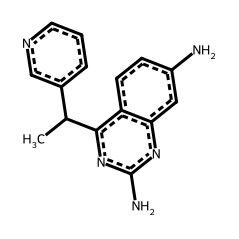 CC(c1cccnc1)c1nc(N)nc2cc(N)ccc12